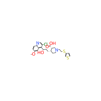 COc1ccc2ncc(Cl)c([C@@H](O)CC[C@H]3CCN(CCSc4ccsc4)C[C@H]3C(=O)O)c2c1